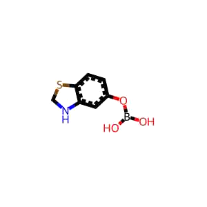 OB(O)Oc1ccc2c(c1)NCS2